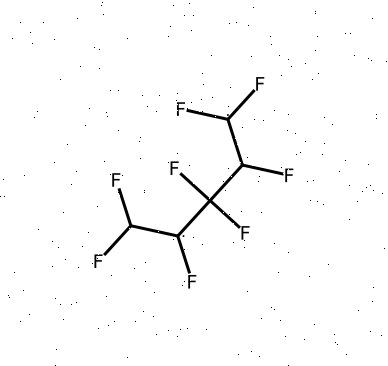 F[C](F)C(F)C(F)(F)[C](F)C(F)F